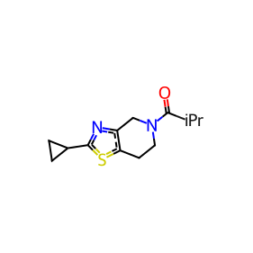 CC(C)C(=O)N1CCc2sc(C3CC3)nc2C1